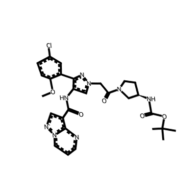 COc1ccc(Cl)cc1-c1nn(CC(=O)N2CC[C@@H](NC(=O)OC(C)(C)C)C2)cc1NC(=O)c1cnn2cccnc12